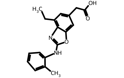 CCc1cc(CC(=O)O)cc2oc(Nc3ccccc3C)nc12